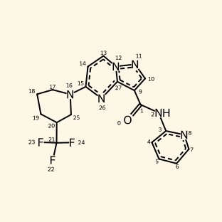 O=C(Nc1ccccn1)c1cnn2ccc(N3CCCC(C(F)(F)F)C3)nc12